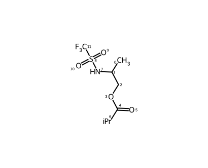 CC(COC(=O)C(C)C)NS(=O)(=O)C(F)(F)F